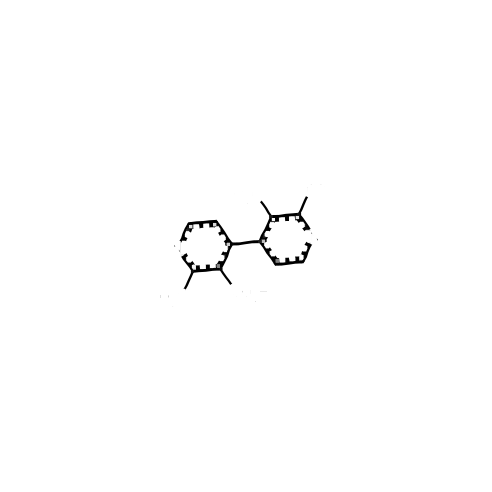 O=C(O)c1nccc(-c2ccnc(C(=O)O)c2C(=O)O)c1C(=O)O